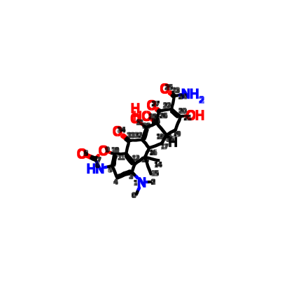 CN(C)c1cc2[nH]c(=O)oc2c2c1C(C)(C)C1C[C@H]3CC(O)=C(C(N)=O)C(=O)[C@@]3(O)C(O)=C1C2=O